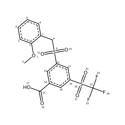 COc1ccccc1CS(=O)(=O)c1cc(C(=O)O)cc(S(=O)(=O)C(F)(F)F)c1